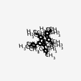 Cc1cc(C)c(-c2c(C)n3c4c(cc(-c5ccc(C(C)(C)C)cc5)cc24)-c2cc(C(C)(C)C)cc4c2B3c2cc(C(C)(C)C)cc3c5cc(C(C)(C)C)ccc5n-4c23)c(C)c1